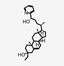 CC[C@]1(O)CC[C@@]2(C)C(=CC[C@H]3[C@@H]4CC[C@H]([C@H](C)CC[C@H](O)c5ccccn5)[C@@]4(C)CC[C@@H]32)C1